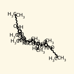 CNCC1CN(C(=O)CN(C)COC(C)(S)CC(=O)N2CCN(C(=O)Oc3ccc(CNC(=O)CCCC/C=C/C(C)C)cc3OC)C(CNC)C2)CCN1C(=O)Oc1ccc(CNC(=O)CCCC/C=C/C(C)C)cc1OC